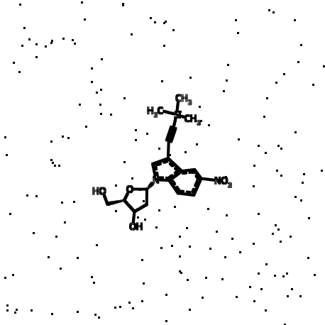 C[Si](C)(C)C#Cc1cn([C@H]2CC(O)[C@@H](CO)O2)c2ccc([N+](=O)[O-])cc12